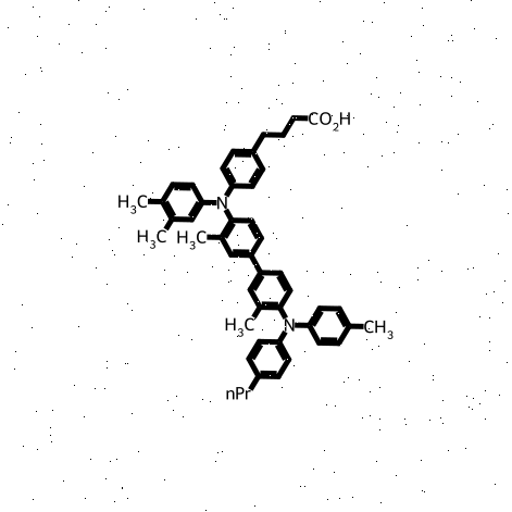 CCCc1ccc(N(c2ccc(C)cc2)c2ccc(-c3ccc(N(c4ccc(CCCC(=O)O)cc4)c4ccc(C)c(C)c4)c(C)c3)cc2C)cc1